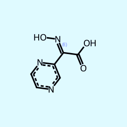 O=C(O)/C(=N/O)c1cnccn1